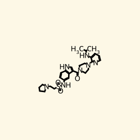 CC(C)Nc1cccnc1N1CCN(C(=O)c2c[nH]c3ccc(NS(=O)(=O)CCN4CCCC4)cc23)CC1